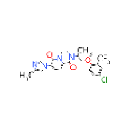 Cc1cn(-c2ccc3n(c2=O)CCN([C@@H](C)COc2ccc(Cl)cc2C(F)(F)F)C3=O)cn1